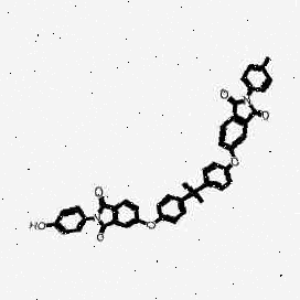 Cc1ccc(N2C(=O)c3ccc(Oc4ccc(C(C)(C)c5ccc(Oc6ccc7c(c6)C(=O)N(c6ccc(O)cc6)C7=O)cc5)cc4)cc3C2=O)cc1